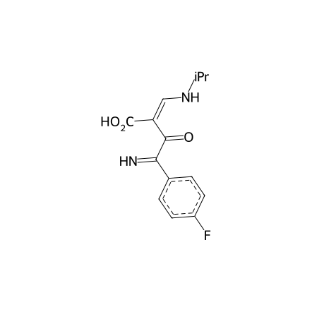 CC(C)N/C=C(/C(=O)O)C(=O)C(=N)c1ccc(F)cc1